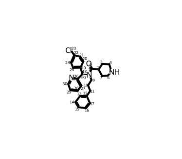 O=C(C1CCNCC1)N(CCCc1ccccc1)[C@H](c1ccc(Cl)cc1)c1ccccn1